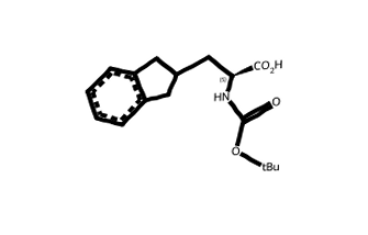 CC(C)(C)OC(=O)N[C@@H](CC1Cc2ccccc2C1)C(=O)O